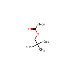 CCCCCCCCCCC(C)(CCCCCCCC)COC(=O)CCCCCCCCC